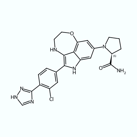 NC(=O)[C@@H]1CCCN1c1cc2c3c(c(-c4ccc(-c5nc[nH]n5)c(Cl)c4)[nH]c3c1)NCCO2